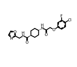 O=C(COc1ccc(Cl)c(F)c1)N[C@H]1CC[C@H](C(=O)NCc2ncco2)CC1